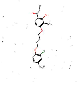 Cc1c(OCCCCOc2ccc(C(=O)O)cc2Cl)ccc(C(=O)CC(C)C)c1O